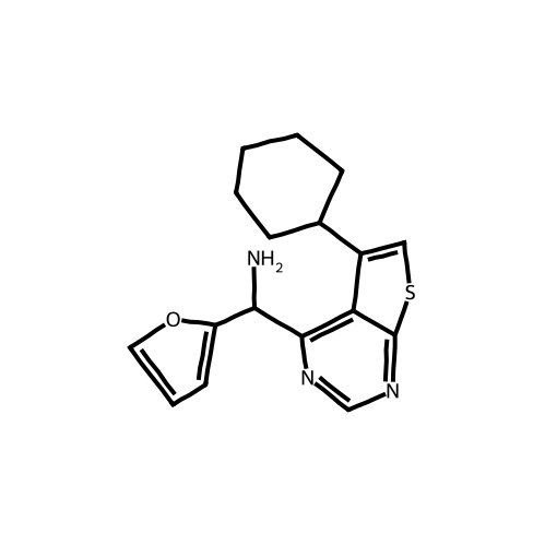 NC(c1ccco1)c1ncnc2scc(C3CCCCC3)c12